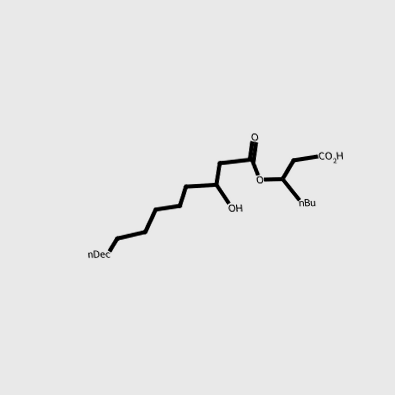 CCCCCCCCCCCCCCCC(O)CC(=O)OC(CCCC)CC(=O)O